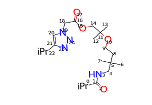 CC(C)C(=O)NCC(C)(C)CCOC(C)(C)COC(=O)Cn1cc(C(C)C)nn1